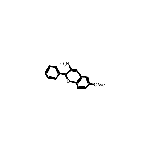 COc1ccc2c(c1)C=C([N+](=O)[O-])C(c1ccccc1)O2